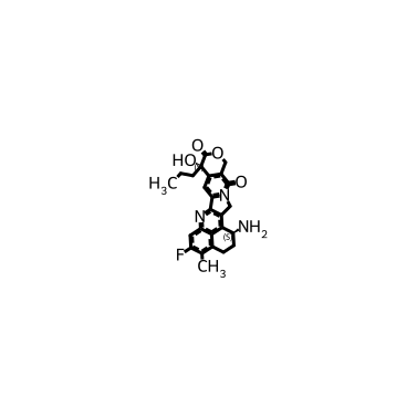 CCC[C@@]1(O)C(=O)OCc2c1cc1n(c2=O)Cc2c-1nc1cc(F)c(C)c3c1c2[C@@H](N)CC3